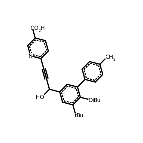 Cc1ccc(-c2cc(C(O)C#Cc3ccc(C(=O)O)cn3)cc(C(C)(C)C)c2OCC(C)C)cc1